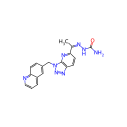 C/C(=N/NC(N)=O)c1ccc2nnn(Cc3ccc4ncccc4c3)c2n1